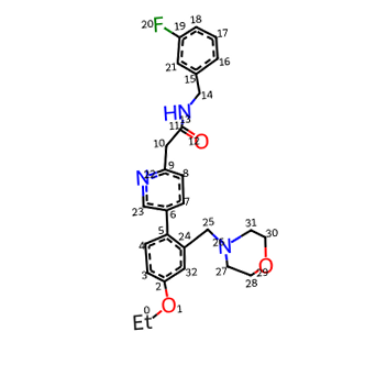 CCOc1ccc(-c2ccc(CC(=O)NCc3cccc(F)c3)nc2)c(CN2CCOCC2)c1